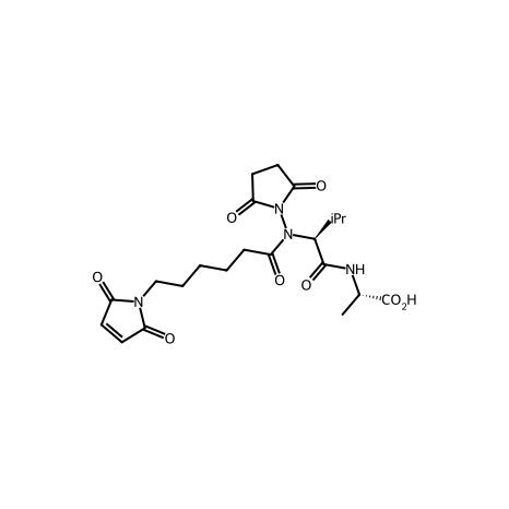 CC(C)[C@@H](C(=O)N[C@@H](C)C(=O)O)N(C(=O)CCCCCN1C(=O)C=CC1=O)N1C(=O)CCC1=O